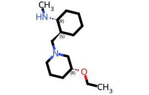 CCO[C@@H]1CCCN(C[C@@H]2CCCC[C@H]2NC)C1